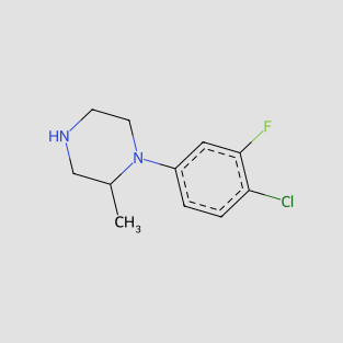 CC1CNCCN1c1ccc(Cl)c(F)c1